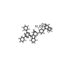 CC1(C)c2cc(-c3cc4c5ccccc5n(-c5nc(-c6ccccc6)nc(-c6ccccc6)n5)c4c4c3=C=4)ccc2-c2c1ccc1ncoc21